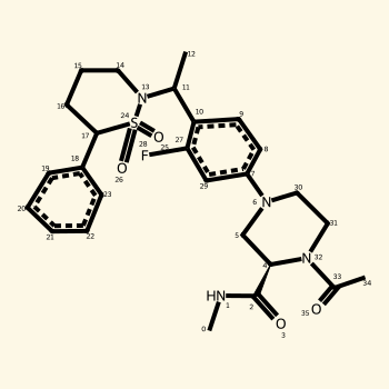 CNC(=O)[C@H]1CN(c2ccc(C(C)N3CCCC(c4ccccc4)S3(=O)=O)c(F)c2)CCN1C(C)=O